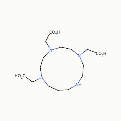 O=C(O)CN1CCCNCCN(CC(=O)O)CCN(CC(=O)O)CC1